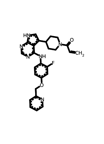 C=CC(=O)N1CCC(c2c[nH]c3ncnc(Nc4ccc(OCc5ccccn5)cc4F)c23)CC1